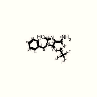 Nc1nc(C(F)(F)F)nc2c1nc(O)n2Cc1ccccc1